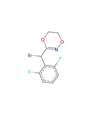 Fc1cccc(F)c1C(Br)C1=NOCCO1